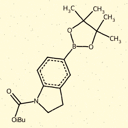 CC(C)COC(=O)N1CCc2cc(B3OC(C)(C)C(C)(C)O3)ccc21